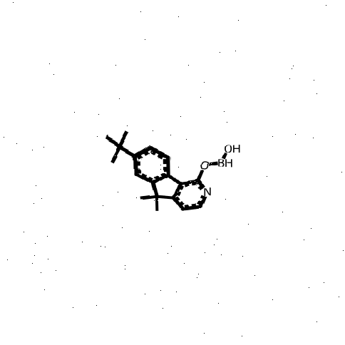 CC(C)(C)c1ccc2c(c1)C(C)(C)c1ccnc(OBO)c1-2